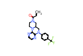 C=CC(=O)N1CCN2c3nccnc3N(c3ccc(C(F)(F)F)cc3)CC2C1